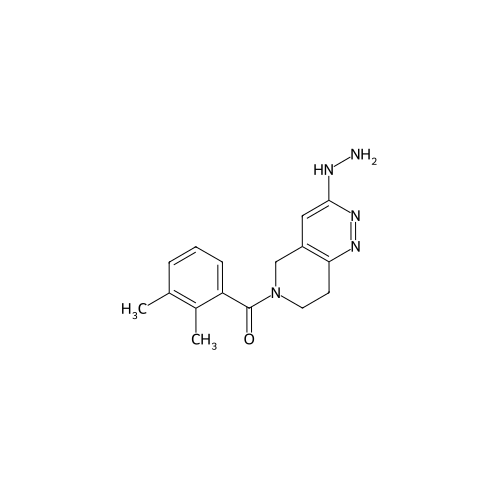 Cc1cccc(C(=O)N2CCc3nnc(NN)cc3C2)c1C